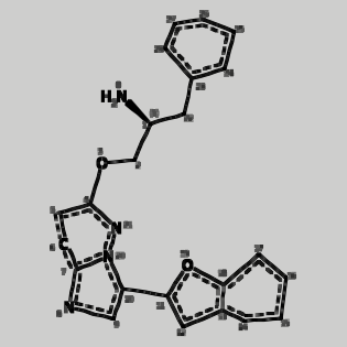 N[C@H](COc1ccc2ncc(-c3cc4ccccc4o3)n2n1)Cc1ccccc1